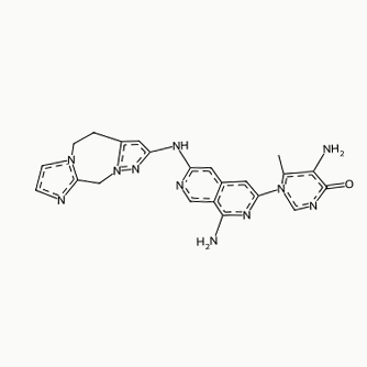 Cc1c(N)c(=O)ncn1-c1cc2cc(Nc3cc4n(n3)Cc3nccn3CC4)ncc2c(N)n1